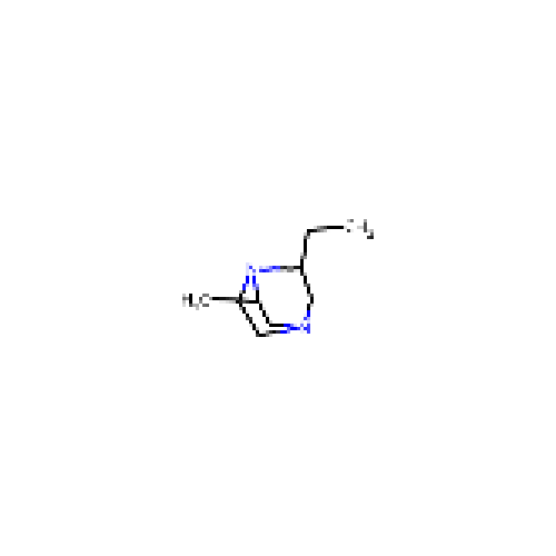 CCC1CN2CCN1C(C)C2